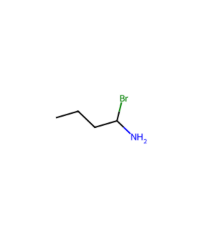 CCCC(N)Br